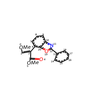 CO/C=C(/C(=O)OC)c1cccc2nc(-c3ccccc3)oc12